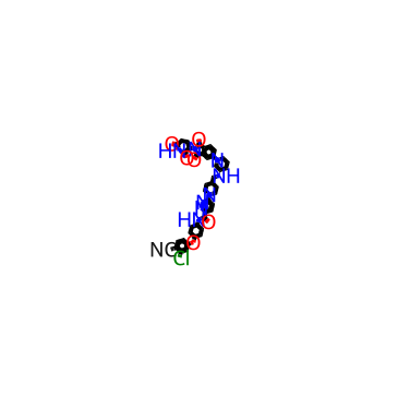 N#Cc1ccc(OC2CCC(NC(=O)c3ccc(N4CCC(CN[C@H]5CCCN(c6ccc7c(c6)C(=O)N(C6CCC(=O)NC6=O)C7=O)C5)CC4)nn3)CC2)cc1Cl